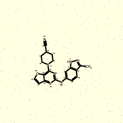 Cc1n[nH]c2cc(Nc3nc(N4CCC(C#N)CC4)c4occc4n3)ccc12